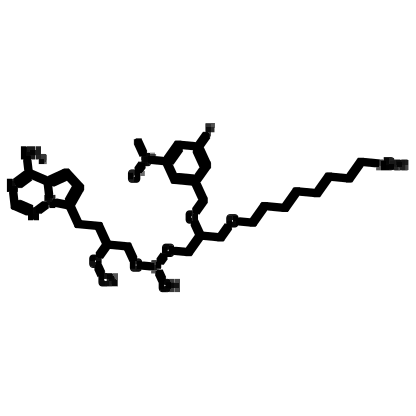 CCCCCCCCCCCCCCCCCCOCC(COP(O)OCC(CCc1ccc2c(N)ncnn12)OC#N)OCc1cc(F)cc([S+](C)[O-])c1